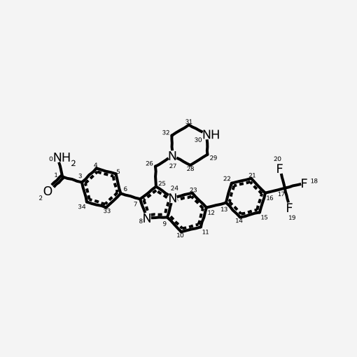 NC(=O)c1ccc(-c2nc3ccc(-c4ccc(C(F)(F)F)cc4)cn3c2CN2CCNCC2)cc1